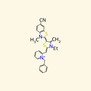 C=C1/C(=C2\Sc3cc(C#N)ccc3N2C)S/C(=C\c2cccc[n+]2Cc2ccccc2)N1CC